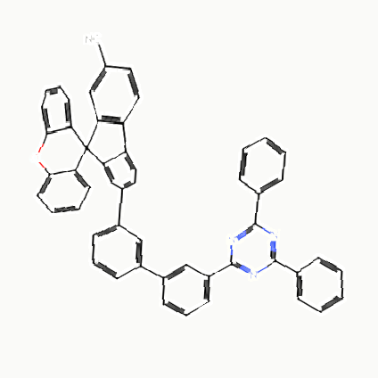 N#Cc1ccc2c(c1)C1(c3ccccc3Oc3ccccc31)c1cc(-c3cccc(-c4cccc(-c5nc(-c6ccccc6)nc(-c6ccccc6)n5)c4)c3)ccc1-2